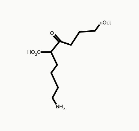 CCCCCCCCCCCC(=O)C(CCCCN)C(=O)O